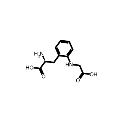 N[C@@H](Cc1ccccc1NCC(=O)O)C(=O)O